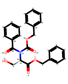 O=C(OCc1ccccc1)[C@H](CO)N(C(=O)OCc1ccccc1)C(=O)c1ccccc1